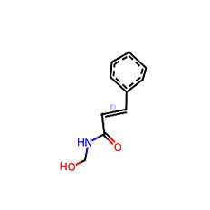 O=C(/C=C/c1ccccc1)NCO